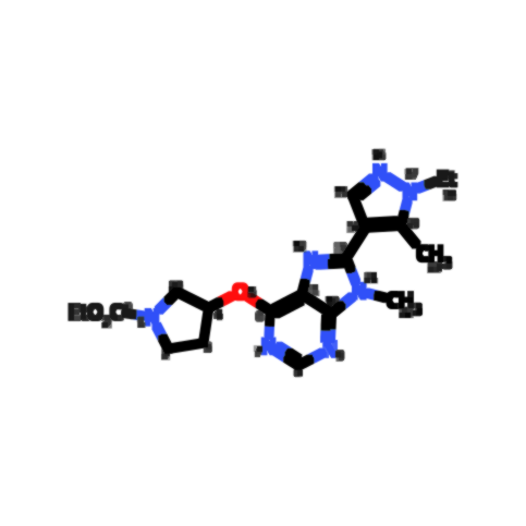 CCOC(=O)N1CCC(Oc2ncnc3c2nc(-c2cnn(CC)c2C)n3C)C1